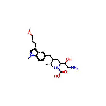 COCCCc1cn(C)c2ccc(CC(CC(NC(=O)O)C(O)CN)C(C)C)cc12